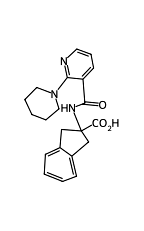 O=C(NC1(C(=O)O)Cc2ccccc2C1)c1cccnc1N1CCCCC1